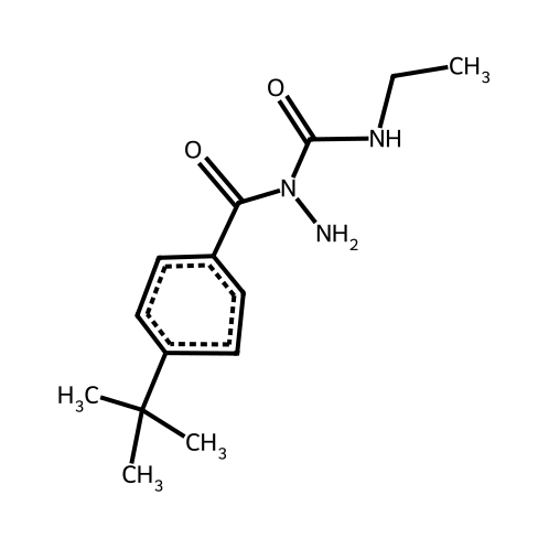 CCNC(=O)N(N)C(=O)c1ccc(C(C)(C)C)cc1